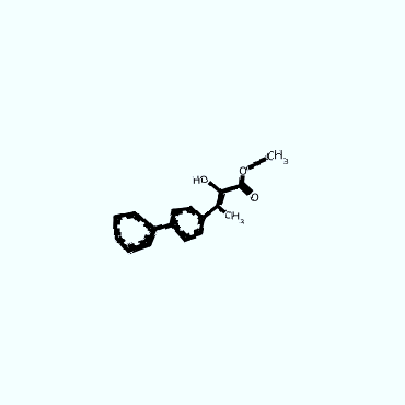 COC(=O)C(O)=C(C)c1ccc(-c2ccccc2)cc1